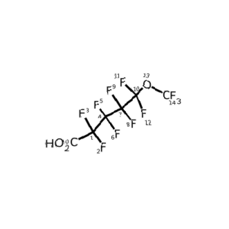 O=C(O)C(F)(F)C(F)(F)C(F)(F)C(F)(F)OC(F)(F)F